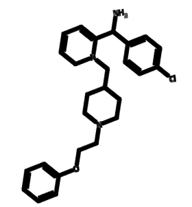 NC(C1=CC=CCN1CC1CCN(CCOc2ccccc2)CC1)c1ccc(Cl)cc1